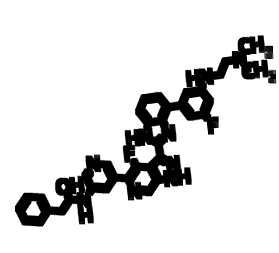 CN(C)CCNc1cc(F)cc(-c2cccc3[nH]c(-c4n[nH]c5cnc(-c6cncc(NC(O)Cc7ccccc7)c6)c(F)c45)nc23)c1